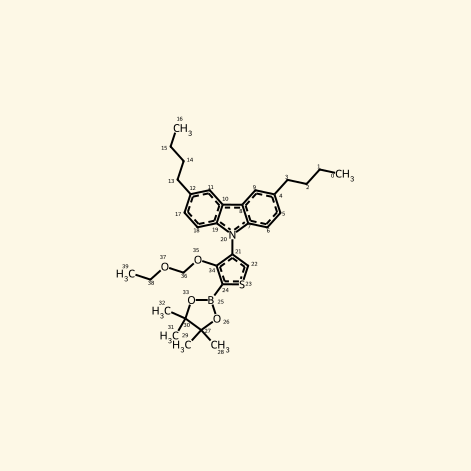 CCCCc1ccc2c(c1)c1cc(CCCC)ccc1n2-c1csc(B2OC(C)(C)C(C)(C)O2)c1OCOCC